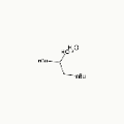 CCCCCC(O)CCCC.O